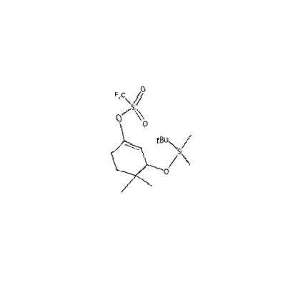 CC1(C)CCC(OS(=O)(=O)C(F)(F)F)=CC1O[Si](C)(C)C(C)(C)C